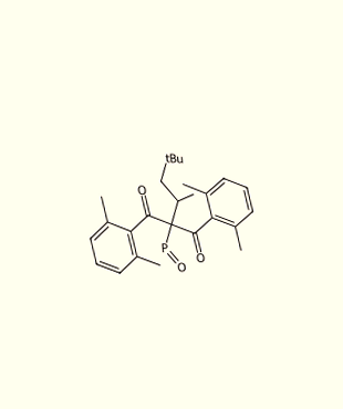 Cc1cccc(C)c1C(=O)C(P=O)(C(=O)c1c(C)cccc1C)C(C)CC(C)(C)C